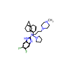 CN1CCN(CCCN(c2nc3cc(F)c(F)cc3[nH]2)[C@@H]2CC[C@]3(C4C=C(CN5CCCC5)C=CC4)CC3C2)CC1